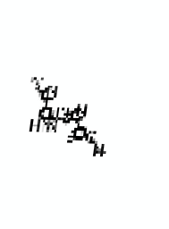 CN(C)CCOc1cc(F)cc(-c2cncc3[nH]c(-c4n[nH]c5ccc(-c6cncc(CN(C)C)c6)cc45)cc23)c1